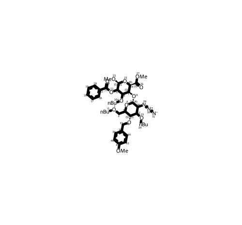 CCCCOCC1O[C@H](O[C@H]2C(OCCCC)C(OC(=O)c3ccccc3)[C@@H](OC)O[C@H]2C(=O)OC)C(N=[N+]=[N-])C(OCCCC)[C@@H]1OCc1ccc(OC)cc1